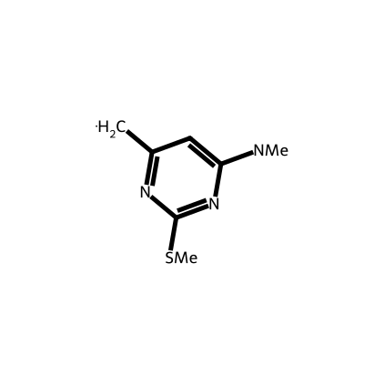 [CH2]c1cc(NC)nc(SC)n1